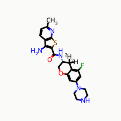 [2H]C1([2H])c2c(F)cc(N3CCNCC3)cc2OC[C@@H]1NC(=O)c1sc2nc(C)ccc2c1N